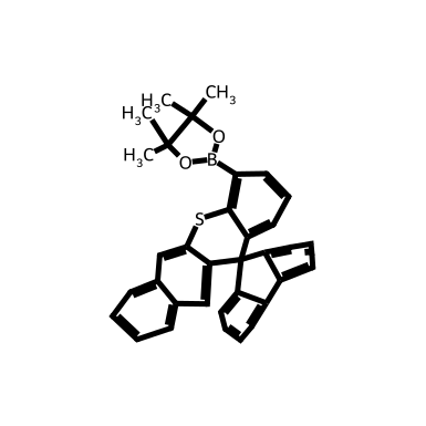 CC1(C)OB(c2cccc3c2Sc2cc4ccccc4cc2C32c3ccccc3-c3ccccc32)OC1(C)C